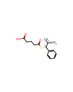 CC(C)[C@@H](SC(=O)CCCC(=O)O)c1ccccc1